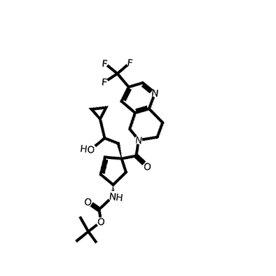 CC(C)(C)OC(=O)N[C@@H]1C=C[C@](CC(O)C2CC2)(C(=O)N2CCc3ncc(C(F)(F)F)cc3C2)C1